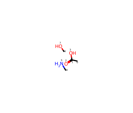 CC(=O)O.CN.CO